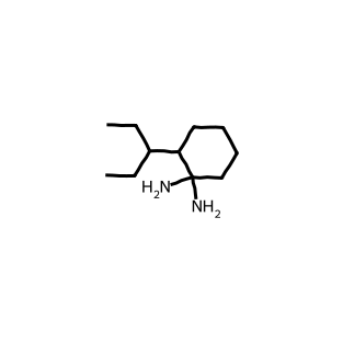 CCC(CC)C1CCCCC1(N)N